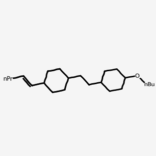 CCC/C=C/C1CCC(CCC2CCC(OCCCC)CC2)CC1